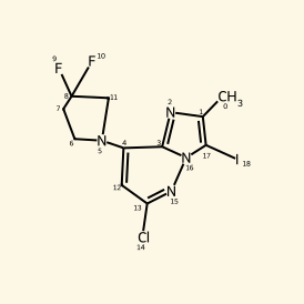 Cc1nc2c(N3CCC(F)(F)C3)cc(Cl)nn2c1I